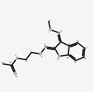 CON=C1C(=NOCCSC(C)=O)Oc2ccccc21